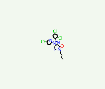 CCCCCNC(=O)c1nc(-c2ccc(Cl)cc2Cl)n(-c2ccc(Cl)cn2)c1CC